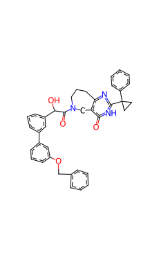 O=C(C(O)c1cccc(-c2cccc(OCc3ccccc3)c2)c1)N1CCCc2nc(C3(c4ccccc4)CC3)[nH]c(=O)c2C1